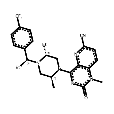 CC[C@@H]1CN(c2nc(=O)n(C)c3ccc(C#N)nc23)[C@@H](C)CN1[C@@H](CC)c1ccc(C(F)(F)F)cc1